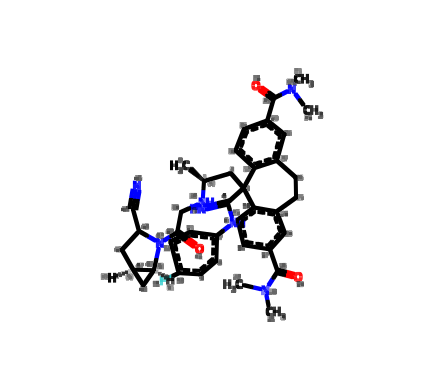 C[C@@H](CC1(C(=N)Nc2ccc(F)cc2)c2ccc(C(=O)N(C)C)cc2CCc2cc(C(=O)N(C)C)ccc21)NCC(=O)N1C(C#N)C[C@@H]2C[C@@H]21